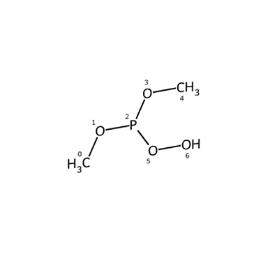 COP(OC)OO